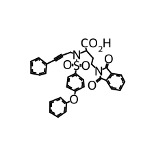 O=C(O)C(CCN1C(=O)c2ccccc2C1=O)N(CC#Cc1ccccc1)S(=O)(=O)c1ccc(Oc2ccccc2)cc1